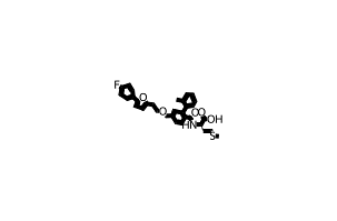 CSCC[C@H](NC(=O)c1ccc(COCCc2ccc(-c3ccc(F)cc3)o2)cc1-c1ccccc1C)C(=O)O